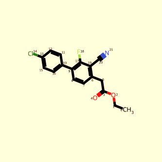 CCOC(=O)Cc1ccc(-c2ccc(Cl)cc2)c(F)c1C#N